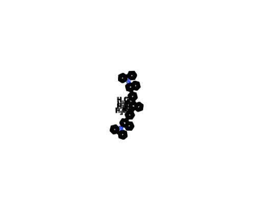 C[Si]1(C)c2cc(-c3ccc(-n4c5ccccc5c5ccccc54)c4ccccc34)ccc2-c2c1c1c(c3ccccc23)-c2ccc(-c3ccc(-n4c5ccccc5c5ccccc54)c4ccccc34)cc2[Si]1(C)C